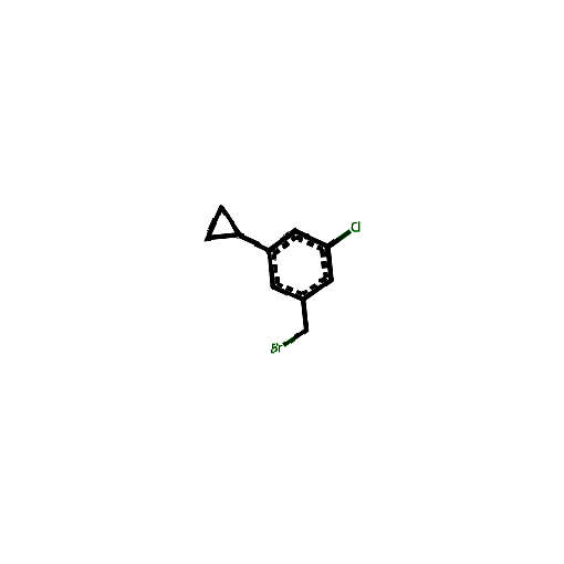 Clc1cc(CBr)cc(C2CC2)c1